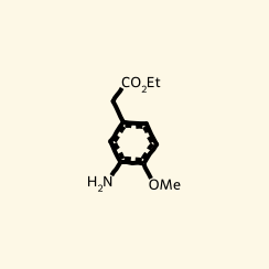 CCOC(=O)Cc1ccc(OC)c(N)c1